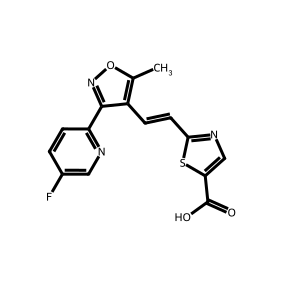 Cc1onc(-c2ccc(F)cn2)c1C=Cc1ncc(C(=O)O)s1